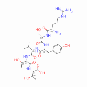 CC(C)[C@H](NC(=O)[C@H](Cc1ccc(O)cc1)NC(=O)[C@H](CO)NC(=O)[C@@H](N)CCCNC(=N)N)C(=O)N[C@H](C(=O)N[C@H](C(=O)O)[C@@H](C)O)[C@@H](C)O